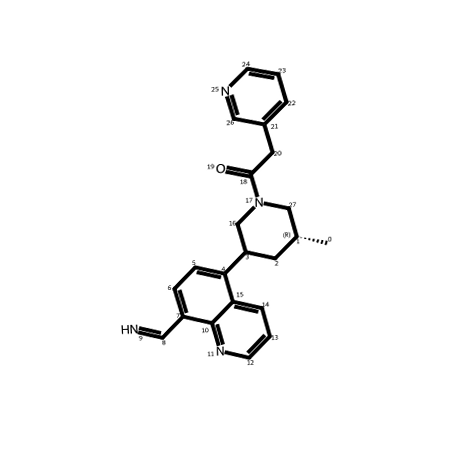 C[C@@H]1CC(c2ccc(C=N)c3ncccc23)CN(C(=O)Cc2cccnc2)C1